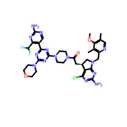 COc1c(C)cnc(CN2C[C@H](CC(=O)N3CCN(c4nc(-c5cnc(N)nc5C(F)F)nc(N5CCOCC5)n4)CC3)c3c(Cl)nc(N)nc32)c1C